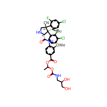 COc1cc(C(=O)OC(C)OC(=O)NCC(O)CO)ccc1NC(=O)[C@@H]1NC[C@](C#N)(c2ccc(Cl)cc2F)[C@@]1(CC(C)(C)C)c1cccc(Cl)c1F